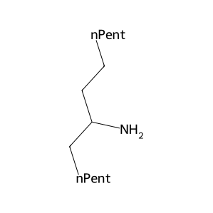 CCCCCCCC(N)CCCCCC